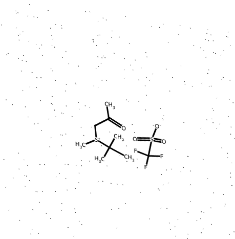 CC(=O)C[S+](C)C(C)(C)C.O=S(=O)([O-])C(F)(F)F